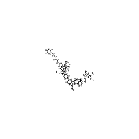 CC(C)(C)OC(=O)NCc1cccc(NC(=O)c2nc(-c3ccc(S(=O)(=O)C(C)(C)CC(C)(CCCCCCOCc4ccccc4)OC4CCCCO4)cc3)cnc2N)c1O